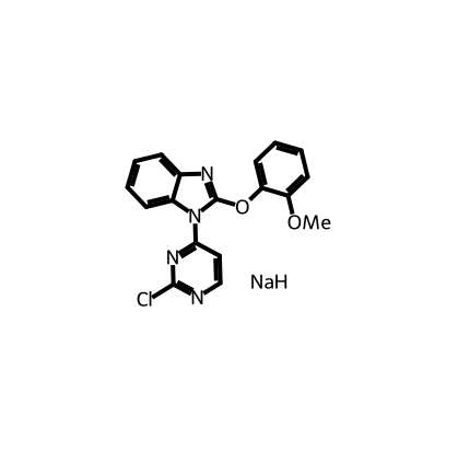 COc1ccccc1Oc1nc2ccccc2n1-c1ccnc(Cl)n1.[NaH]